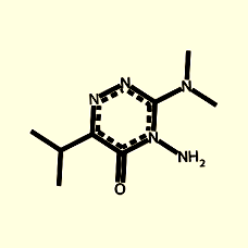 CC(C)c1nnc(N(C)C)n(N)c1=O